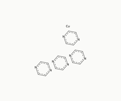 [Cu].c1cnccn1.c1cnccn1.c1cnccn1.c1cnccn1